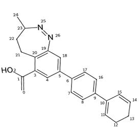 C=C(O)c1cc(-c2ccc(C3=CCCC=C3)cc2)cc2c1CCC(C)N=N2